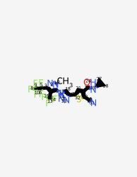 Cn1nc(C(F)(F)C(F)(F)F)c(C(F)(F)F)c1-n1cc(-c2cc(C(=O)NC3CC3)c(C#N)s2)nn1